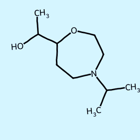 CC(O)C1CCN(C(C)C)CCO1